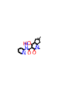 C[C@@H]1Cc2c(O)c(C(=O)Nc3ccccn3)c(=O)n(C)c2C1